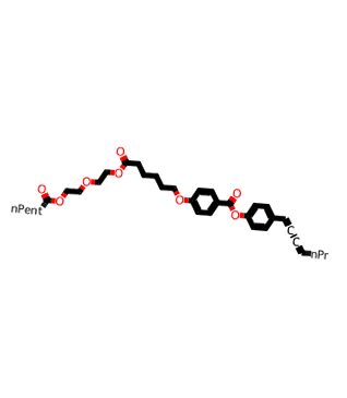 CCCC=C=C=Cc1ccc(OC(=O)c2ccc(OCCCCCC(=O)OCCOCCOC(=O)CCCCC)cc2)cc1